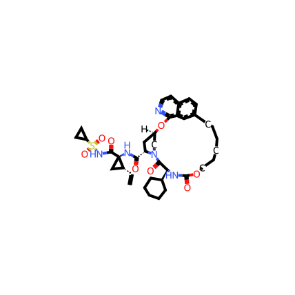 C=C[C@@H]1C[C@]1(NC(=O)[C@@H]1C[C@@H]2CN1C(=O)[C@H](C1CCCCC1)NC(=O)OCCCCCCc1ccc3ccnc(c3c1)O2)C(=O)NS(=O)(=O)C1CC1